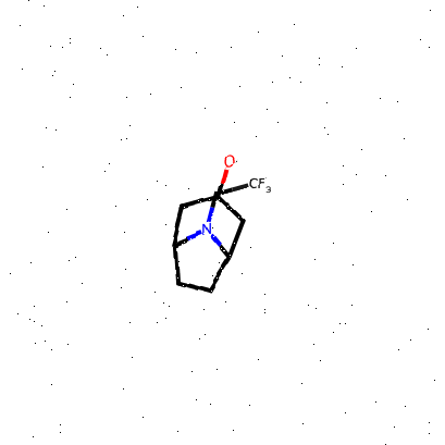 [O]C1CC2CCC(C1)N2CC(F)(F)F